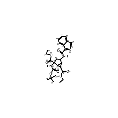 CCOC(=O)C1C2C(NC(=O)c3nccc4ccccc34)CC(NC(=O)OC(C)(C)C)(C(=O)OCC)C12